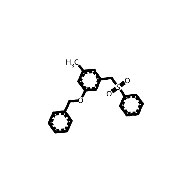 Cc1cc(CS(=O)(=O)c2ccccc2)cc(OCc2ccccc2)c1